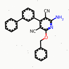 N#Cc1c(N)nc(OCc2ccccc2)c(C#N)c1-c1cccc(-c2ccccc2)c1